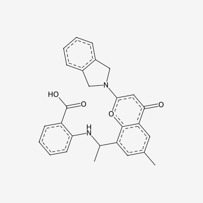 Cc1cc(C(C)Nc2ccccc2C(=O)O)c2oc(N3Cc4ccccc4C3)cc(=O)c2c1